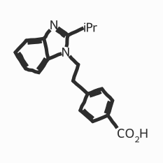 CC(C)c1nc2ccccc2n1CCc1ccc(C(=O)O)cc1